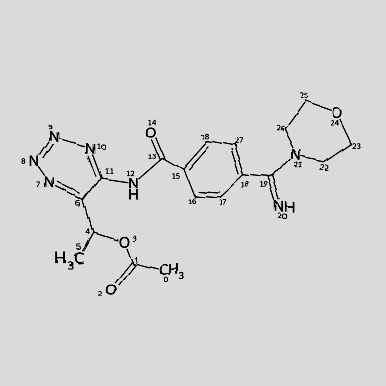 CC(=O)OC(C)c1nnnnc1NC(=O)c1ccc(C(=N)N2CCOCC2)cc1